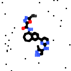 Cc1n[nH]cc1Nc1nccc(-c2ccc3c(c2)CCCCC3NC(=O)c2nnc(C(C)(C)C)o2)n1